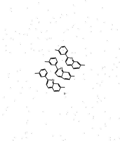 Cc1cccc(-c2ccc3ccc(C)cc3n2)c1.Cc1cccc(-c2ccc3ccc(C)cc3n2)c1.Cc1cccc(-c2ccc3ccc(C)cc3n2)c1.[Ir]